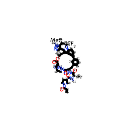 C=CC(=O)N1CC[C@H](C(=O)N(C)[C@H](C(=O)N[C@H]2Cc3cccc(c3)-c3ccc4c(c3)c(c(-c3cnn(C)c3[C@H](C)OC)n4CC(F)(F)F)C[C@@H](C)OC(=O)[C@@H]3CCCN(N3)C2=O)C(C)C)C1